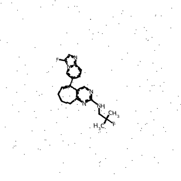 CC(C)(F)CNc1ncc2c(n1)CCCC=C2c1ccc2ncc(F)n2c1